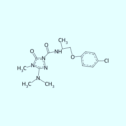 CC(COc1ccc(Cl)cc1)NC(=O)n1nc(N(C)C)n(C)c1=O